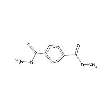 COC(=O)c1ccc(C(=O)ON)cc1